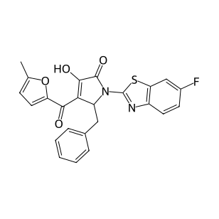 Cc1ccc(C(=O)C2=C(O)C(=O)N(c3nc4ccc(F)cc4s3)C2Cc2ccccc2)o1